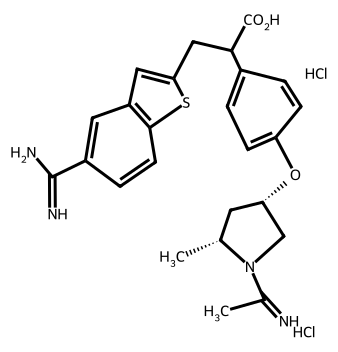 CC(=N)N1C[C@@H](Oc2ccc(C(Cc3cc4cc(C(=N)N)ccc4s3)C(=O)O)cc2)C[C@H]1C.Cl.Cl